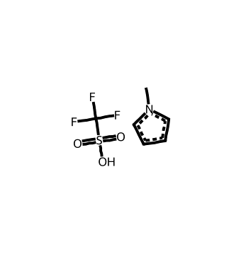 Cn1cccc1.O=S(=O)(O)C(F)(F)F